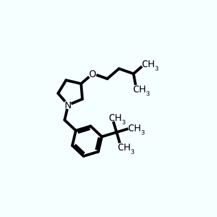 CC(C)CCOC1CCN(Cc2cccc(C(C)(C)C)c2)C1